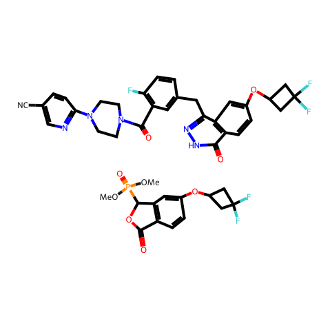 COP(=O)(OC)C1OC(=O)c2ccc(OC3CC(F)(F)C3)cc21.N#Cc1ccc(N2CCN(C(=O)c3cc(Cc4n[nH]c(=O)c5ccc(OC6CC(F)(F)C6)cc45)ccc3F)CC2)nc1